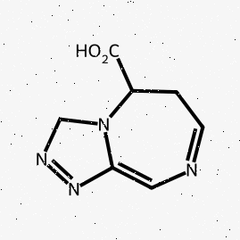 O=C(O)C1CC=NC=C2N=NCN21